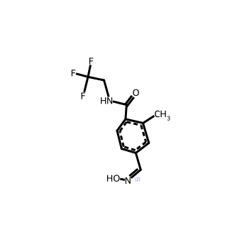 Cc1cc(/C=N\O)ccc1C(=O)NCC(F)(F)F